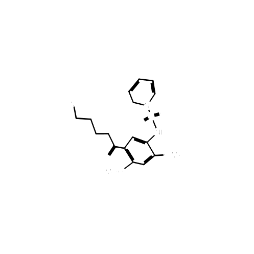 COc1cc(OC)c(C(=O)CCCCCl)cc1NS(=O)(=O)N1C=CC=CC1